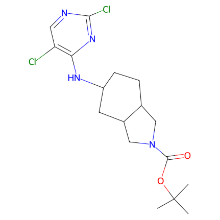 CC(C)(C)OC(=O)N1CC2CCC(Nc3nc(Cl)ncc3Cl)CC2C1